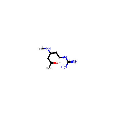 CC(C)NC(CCNC(=N)N)CC(=O)C(C)C